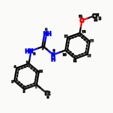 CCc1cccc(NC(=N)Nc2cccc(OC(F)(F)F)c2)c1